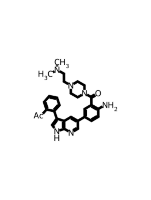 CC(=O)c1ccccc1-c1c[nH]c2ncc(-c3ccc(N)c(C(=O)N4CCN(CCN(C)C)CC4)c3)cc12